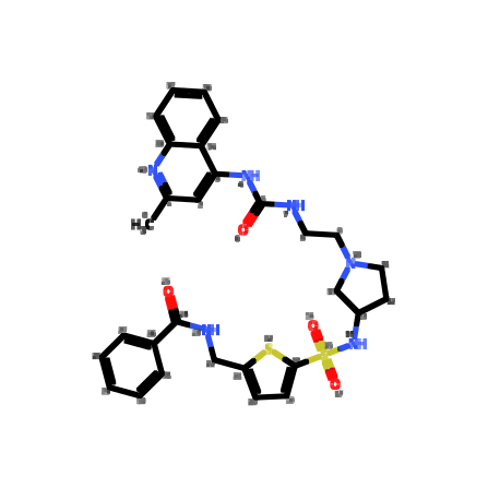 Cc1cc(NC(=O)NCCN2CCC(NS(=O)(=O)c3ccc(CNC(=O)c4ccccc4)s3)C2)c2ccccc2n1